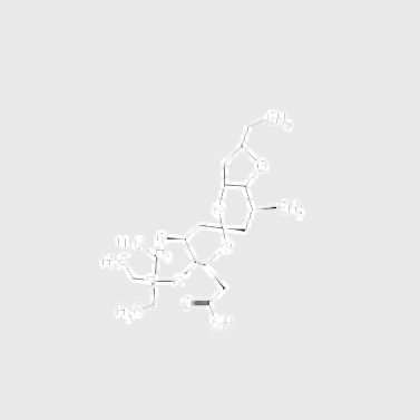 CCC1CC2O[C@@]3(C[C@H](C)C2O1)C[C@H](C)[C@H](O[Si](CC)(CC)CC)[C@H](CC(=O)O)O3